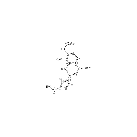 COOc1ccc2c(OC)cc(-n3ccc(NC(C)C)n3)nc2c1Cl